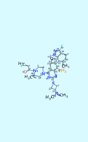 C=CC(=O)N1CCN(c2nc(N3CC(N(C)C)C3)nc3c(P)c(-c4c(C)ccc5c(F)nn(I)c45)c(C)cc23)C[C@H]1C